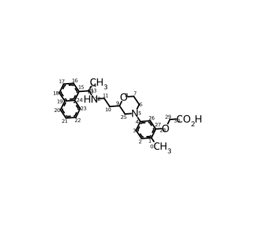 Cc1ccc(N2CCOC(CCN[C@H](C)c3cccc4ccccc34)C2)cc1OCC(=O)O